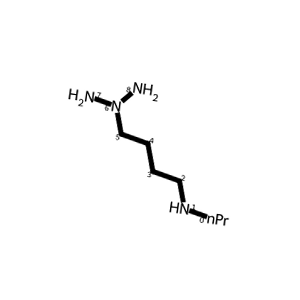 CCCNCCCCN(N)N